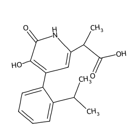 CC(C)c1ccccc1-c1cc(C(C)C(=O)O)[nH]c(=O)c1O